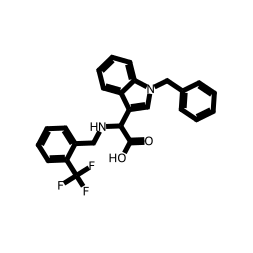 O=C(O)C(NCc1ccccc1C(F)(F)F)c1cn(Cc2ccccc2)c2ccccc12